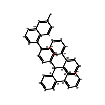 Cc1ccc2c(-c3ccc(N(c4ccccc4-c4ccccc4)c4ccccc4-c4ccccc4)cc3)cccc2c1